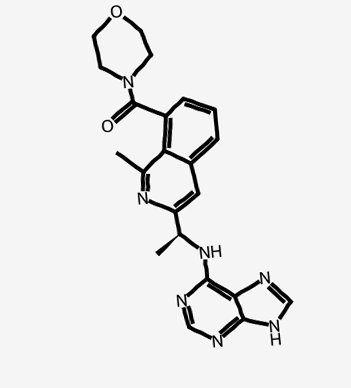 Cc1nc([C@H](C)Nc2ncnc3[nH]cnc23)cc2cccc(C(=O)N3CCOCC3)c12